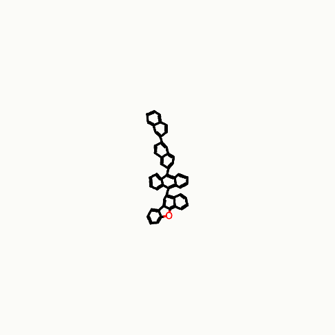 c1ccc2cc(-c3ccc4cc(-c5c6ccccc6c(-c6cc7c8ccccc8oc7c7ccccc67)c6ccccc56)ccc4c3)ccc2c1